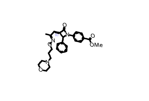 COC(=O)c1ccc(N2C(=O)/C(=C/C(C)=NOCCCN3CCOCC3)C2c2ccccc2)cc1